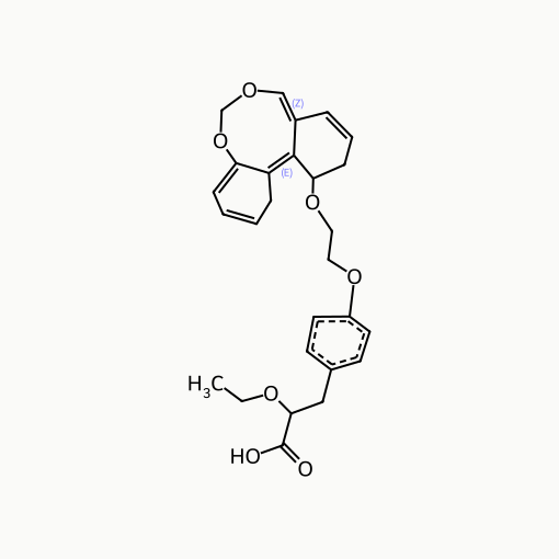 CCOC(Cc1ccc(OCCOC2CC=CC3=C/OCOC4=CC=CC\C4=C\32)cc1)C(=O)O